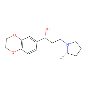 C[C@H]1CCCN1CC[C@@H](O)c1ccc2c(c1)OCCO2